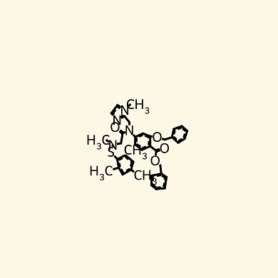 Cc1cc(C)c(SN(C)CC(=O)N(Cc2nccn2C)c2ccc(C(=O)OCc3ccccc3)c(OCc3ccccc3)c2)c(C)c1